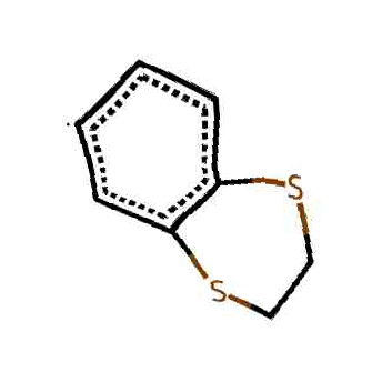 [c]1ccc2c(c1)SCCS2